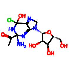 CC(=O)C1(N)N=C2C(=NCN2[C@@H]2O[C@H](CO)[C@@H](O)[C@H]2O)C(O)(Cl)N1